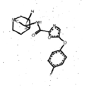 O=C(N[C@H]1CN2CCC1CC2)c1ncc(Oc2ccc(F)cc2)o1